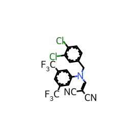 N#CC(C#N)=CN(Cc1ccc(Cl)c(Cl)c1)c1cc(C(F)(F)F)cc(C(F)(F)F)c1